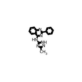 Cc1n[nH]c(Nc2nc(-c3ccccc3)nc3ccccc23)n1